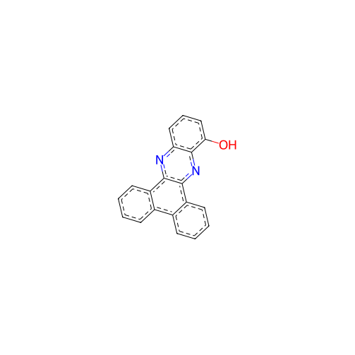 Oc1cccc2nc3c4ccccc4c4ccccc4c3nc12